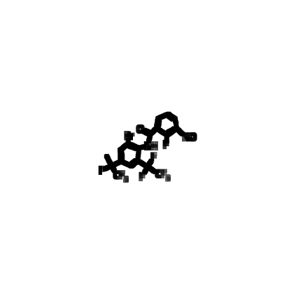 CC(F)(c1cc(Br)c(NC(=O)c2cccc(N=O)c2F)c(C(F)(F)C(F)(F)F)c1)C(F)(F)F